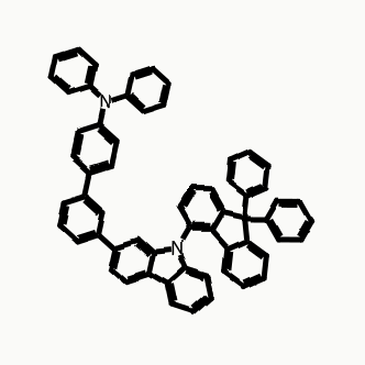 c1ccc(N(c2ccccc2)c2ccc(-c3cccc(-c4ccc5c6ccccc6n(-c6cccc7c6-c6ccccc6C7(c6ccccc6)c6ccccc6)c5c4)c3)cc2)cc1